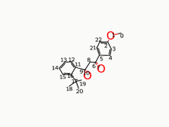 COc1ccc(C(=O)CC(=O)c2ccccc2C(C)(C)C)cc1